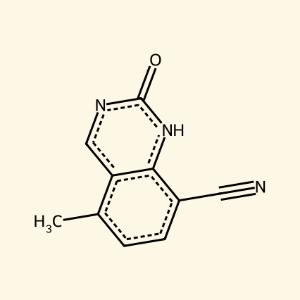 Cc1ccc(C#N)c2[nH]c(=O)ncc12